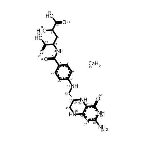 CC(CC(NC(=O)c1ccc(NC[C@H]2CNc3nc(N)[nH]c(=O)c3N2)cc1)C(=O)O)C(=O)O.[CaH2]